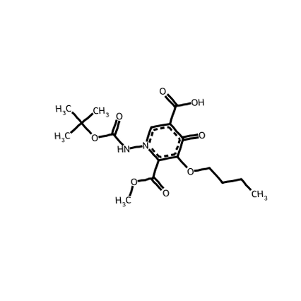 CCCCOc1c(C(=O)OC)n(NC(=O)OC(C)(C)C)cc(C(=O)O)c1=O